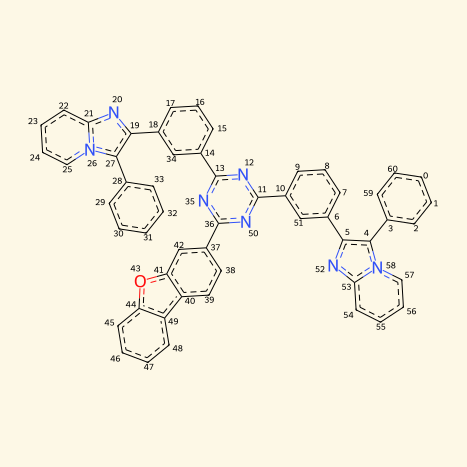 c1ccc(-c2c(-c3cccc(-c4nc(-c5cccc(-c6nc7ccccn7c6-c6ccccc6)c5)nc(-c5ccc6c(c5)oc5ccccc56)n4)c3)nc3ccccn23)cc1